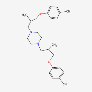 CC(COc1ccc(C#N)cc1)CN1CCN(CC(C)COc2ccc(C#N)cc2)CC1